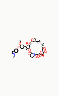 CCOC1CC(C=C(C)C2OC(=O)C3CCCCN3C(=O)C(=O)C3(O)OC(C(OC)CC(C)C/C(C)=C/C(CC)C(=O)CC(O)C2C)C(OC)CC3C)CCC1Oc1ccc2c(ccn2CC)c1